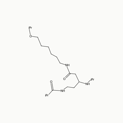 CC(C)NC(CCNC(=O)C(C)C)CC(=O)NCCCCCCOC(C)C